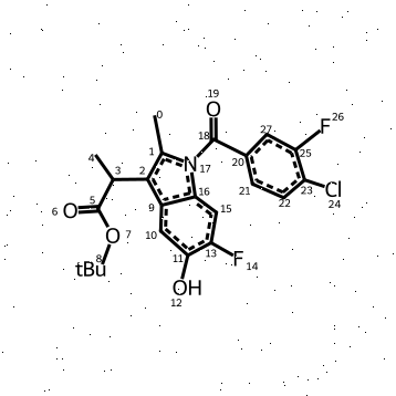 Cc1c(C(C)C(=O)OC(C)(C)C)c2cc(O)c(F)cc2n1C(=O)c1ccc(Cl)c(F)c1